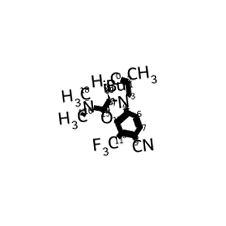 C=C(C)CN(c1ccc(C#N)c(C(F)(F)F)c1)[C@H](C(=O)N(C)C)[C@@H](C)CC